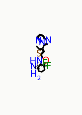 Cc1sc(C(=O)N[C@@H]2[C@@H](N)CCCC2(F)F)cc1-c1cnc2cccnn12